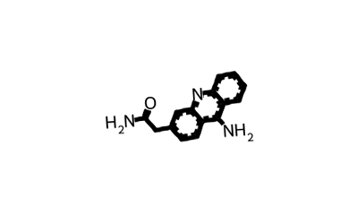 NC(=O)Cc1ccc2c(N)c3ccccc3nc2c1